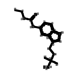 CCOC(=O)Oc1ccc2ncn(CCC(C)(C)N)c2c1